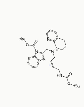 CC(C)(C)OC(=O)NC/C=C\CN(Cc1nc2ccccc2n1C(=O)OC(C)(C)C)[C@H]1CCCc2cccnc21